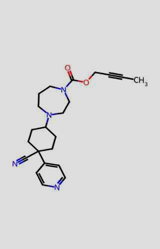 CC#CCOC(=O)N1CCCN(C2CCC(C#N)(c3ccncc3)CC2)CC1